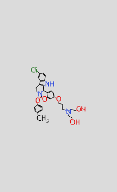 Cc1ccc(OC(=O)N2CCc3c([nH]c4ccc(Cl)cc34)C2c2ccc(OCCCN(CCO)CCO)cc2)cc1